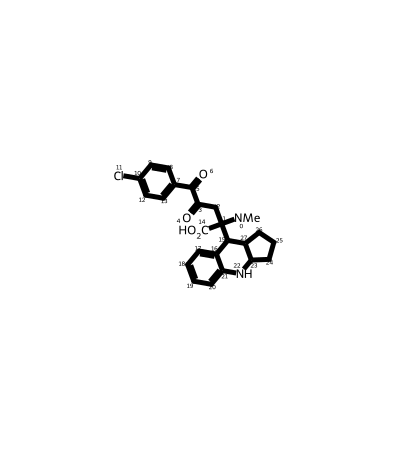 CNC(CC(=O)C(=O)c1ccc(Cl)cc1)(C(=O)O)C1c2ccccc2NC2CCCC21